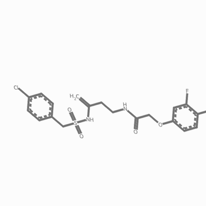 C=C(CCNC(=O)COc1ccc(Cl)c(F)c1)NS(=O)(=O)Cc1ccc(Cl)cc1